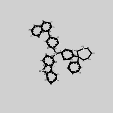 c1ccc(C2(c3ccc(N(c4ccc(-c5cccc6ccccc56)cc4)c4ccc5oc6ccccc6c5c4)cc3)CCCCCC2)cc1